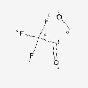 C[O].O=[C]C(F)(F)F